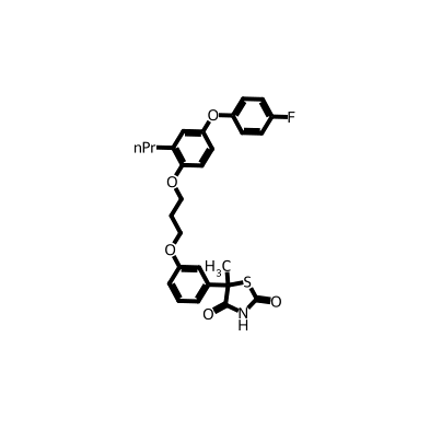 CCCc1cc(Oc2ccc(F)cc2)ccc1OCCCOc1cccc(C2(C)SC(=O)NC2=O)c1